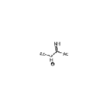 CC(=O)C(=N)[PH](=O)C(C)=O